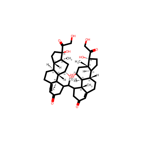 C[C@]12C[C@H](O)[C@H]3[C@@H](CCC4=CC(=O)CC(C(C(=O)O)C5CC(=O)C=C6CC[C@@H]7[C@H]([C@@H](O)C[C@@]8(C)[C@H]7CC[C@]8(O)C(=O)CO)[C@]65C)[C@@]43C)[C@@H]1CC[C@]2(O)C(=O)CO